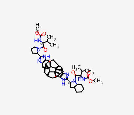 COC(=O)N[C@H](C(=O)N1CCCC1c1nc2ccc(-c3cc4ccc3CCc3ccc(c(-c5ccc6nc([C@@H]7CC8CCCCC8N7C(=O)[C@@H](NC(=O)OC)C(C)C)[nH]c6c5)c3)CC4)cc2[nH]1)C(C)C